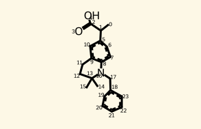 CC(C(=O)O)c1ccc2c(c1)CCC(C)(C)N2Cc1ccccc1